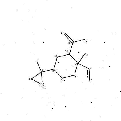 C=CC1(C)CCC(C2(C)CO2)CC1C(=C)C